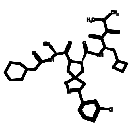 CN(C)C(=O)C(=O)[C@@H](CC1CCC1)NC(=O)[C@@H]1C[C@]2(CC(c3cccc(Cl)c3)=NO2)CN1C(=O)[C@@H](NC(=O)CC1CCCCC1)C(C)(C)C